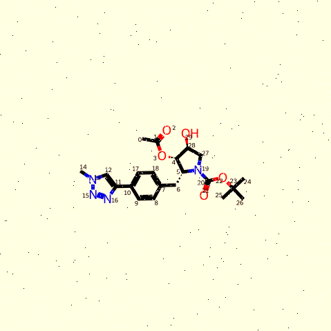 CC(=O)O[C@H]1[C@@H](Cc2ccc(-c3cn(C)nn3)cc2)N(C(=O)OC(C)(C)C)C[C@@H]1O